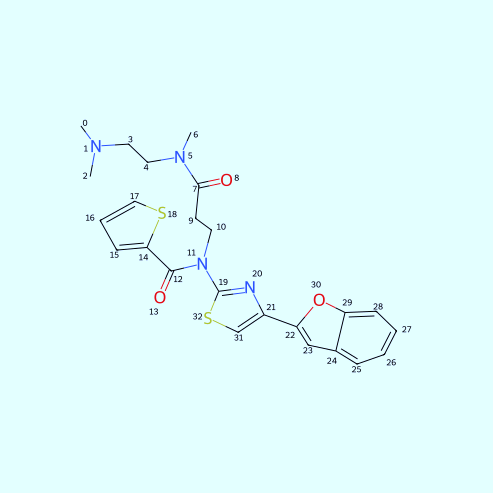 CN(C)CCN(C)C(=O)CCN(C(=O)c1cccs1)c1nc(-c2cc3ccccc3o2)cs1